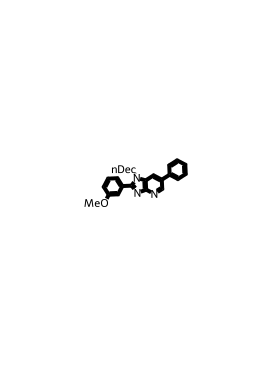 CCCCCCCCCCn1c(-c2cccc(OC)c2)nc2ncc(-c3ccccc3)cc21